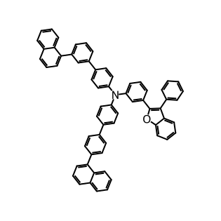 c1ccc(-c2c(-c3cccc(N(c4ccc(-c5ccc(-c6cccc7ccccc67)cc5)cc4)c4ccc(-c5cccc(-c6cccc7ccccc67)c5)cc4)c3)oc3ccccc23)cc1